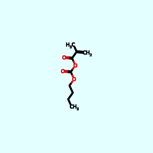 C=C(C)C(=O)OC(=O)OCCCC